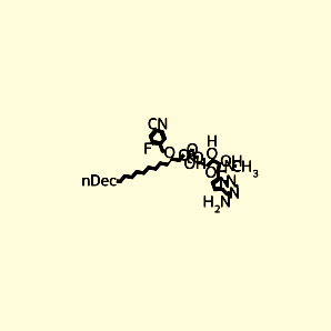 CCCCCCCCCCCCCCCCCCC[C@H](COP(=O)(O)OC[C@H]1O[C@@](C=NC)(c2ccc3c(N)ncnn23)[C@H](O)[C@@H]1O)OCc1ccc(C#N)cc1F